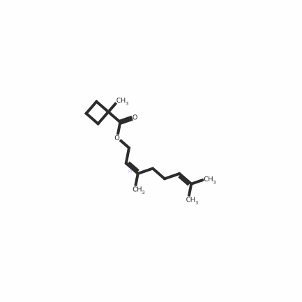 CC(C)=CCC/C(C)=C\COC(=O)C1(C)CCC1